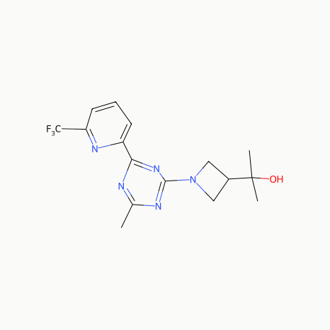 Cc1nc(-c2cccc(C(F)(F)F)n2)nc(N2CC(C(C)(C)O)C2)n1